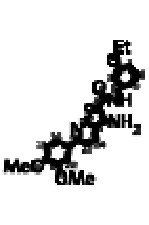 CCOc1cccc(NC(=O)c2sc3nc(-c4ccc(OC)c(OC)c4)ccc3c2N)c1